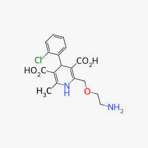 CC1=C(C(=O)O)C(c2ccccc2Cl)C(C(=O)O)=C(COCCN)N1